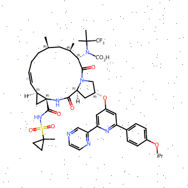 CC(C)Oc1ccc(-c2cc(O[C@@H]3C[C@H]4C(=O)N[C@]5(C(=O)NS(=O)(=O)C6(C)CC6)C[C@H]5/C=C\CC[C@@H](C)C[C@@H](C)[C@H](N(C(=O)O)C(C)(C)C(F)(F)F)C(=O)N4C3)cc(-c3cnccn3)n2)cc1